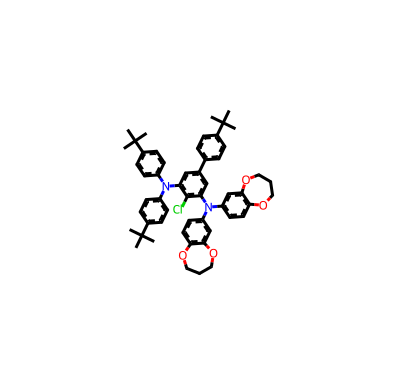 CC(C)(C)c1ccc(-c2cc(N(c3ccc(C(C)(C)C)cc3)c3ccc(C(C)(C)C)cc3)c(Cl)c(N(c3ccc4c(c3)OCCCO4)c3ccc4c(c3)OCCCO4)c2)cc1